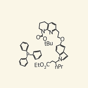 CCCC(CC(=O)OCC)n1ccc2cc(OCCc3ccc4c(n3)N(C(=O)OC(C)(C)C)CCC4)ccc21.c1ccc(P(c2ccccc2)c2ccccc2)cc1